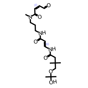 CN(CCCNC(=O)/C=C/NC(=O)CC(C)(C)COC(C)(C)O)C(=O)/C=C\C=O